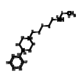 CCNCCCCCN1CCN(c2ccccc2)CC1